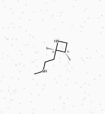 CNCC[C@@]1(I)NC[C@@H]1C